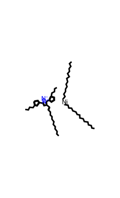 CCCCCCCCCCCC=CC1=C(c2cccc(CCCC)c2)[N+](=[N-])C(c2cccc(CCCC)c2)=C1.CCCCCCCCCCCCCCC[CH2][Ni][CH2]CCCCCCCCCCCCCCC